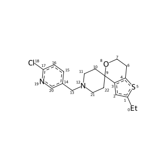 CCc1cc2c(s1)CCOC21CCN(Cc2ccc(Cl)nc2)CC1